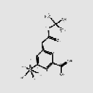 CC(C)(C)OC(=O)Cc1cc(C(=O)O)cc(S(F)(F)(F)(F)F)c1